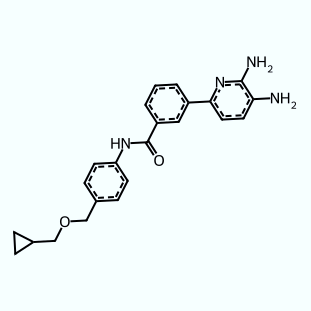 Nc1ccc(-c2cccc(C(=O)Nc3ccc(COCC4CC4)cc3)c2)nc1N